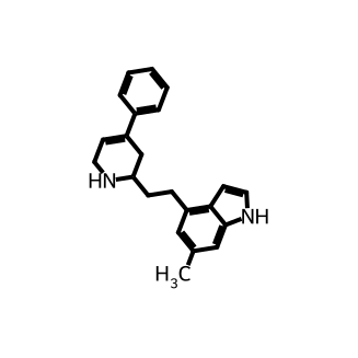 Cc1cc(CCC2CC(c3ccccc3)=CCN2)c2cc[nH]c2c1